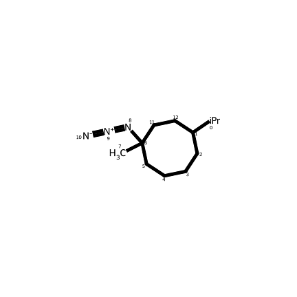 CC(C)C1CCCCC(C)(N=[N+]=[N-])CC1